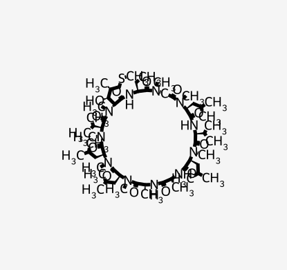 CC[C@@H]1NC(=O)[C@H]([C@H](O)[C@H](C)CSC)N(C)C(=O)[C@H](C(C)C)N(C)C(=O)[C@H](CC(C)C)N(C)C(=O)[C@H](CC(C)C)N(C)C(=O)[C@@H](C)NC(=O)[C@H](C)NC(=O)[C@H](CC(C)C)N(C)C(=O)[C@H](C(C)C)NC(=O)[C@H](CC(C)C)N(C)C(=O)CN(C)C1=O